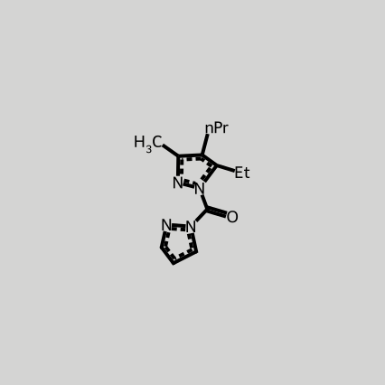 CCCc1c(C)nn(C(=O)n2cccn2)c1CC